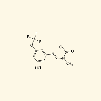 CN(C=Nc1cccc(OC(F)(F)F)c1)C(=O)Cl.Cl